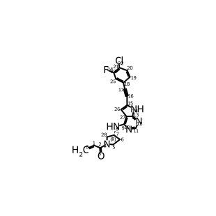 C=CC(=O)N1CC[C@@H](Nc2ncnc3[nH]c(C#Cc4ccc(Cl)c(F)c4)cc23)C1